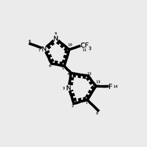 Cc1cnc(-c2cn(C)nc2C(F)(F)F)cc1F